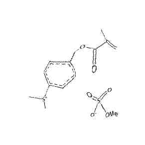 C=C(C)C(=O)Oc1ccc([S+](C)C)cc1.COS(=O)(=O)[O-]